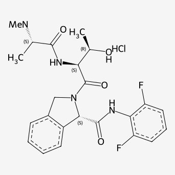 CN[C@@H](C)C(=O)N[C@H](C(=O)N1Cc2ccccc2[C@H]1C(=O)Nc1c(F)cccc1F)[C@@H](C)O.Cl